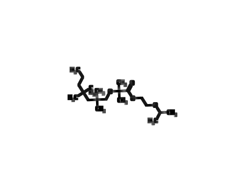 CCCC(C)(C)CC(C)(C)COC(C)(C)C(=O)OCCOC(C)C